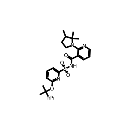 CCCC(C)(C)Oc1cccc(S(=O)(=O)NC(=O)c2cccnc2N2CCC(C)C2(C)C)n1